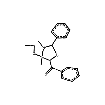 CCO[Si]1(C)N(C(=O)c2ccccc2)OC(c2ccccc2)N1C